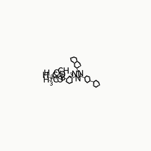 CC1(C)OB(c2cccc(-c3nc(-c4ccc(-c5ccccc5)cc4)nc(-c4ccc5ccccc5c4)n3)c2)OC1(C)C